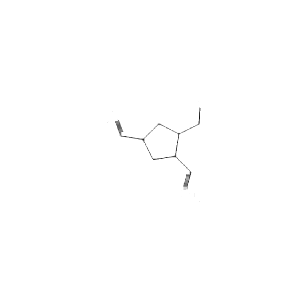 C=CC1CC(C=C)C(CF)C1